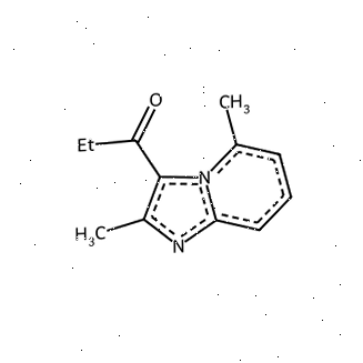 CCC(=O)c1c(C)nc2cccc(C)n12